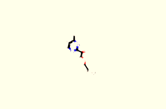 COCCOCC(=O)c1nccc(C)n1